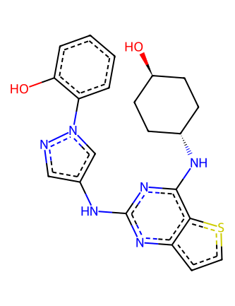 Oc1ccccc1-n1cc(Nc2nc(N[C@H]3CC[C@H](O)CC3)c3sccc3n2)cn1